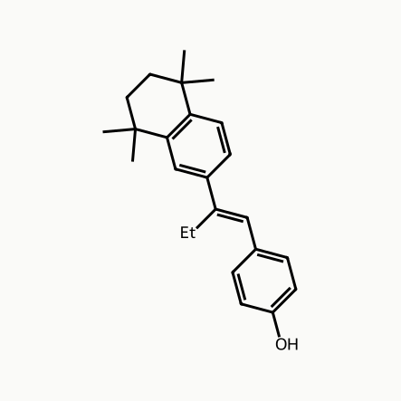 CCC(=Cc1ccc(O)cc1)c1ccc2c(c1)C(C)(C)CCC2(C)C